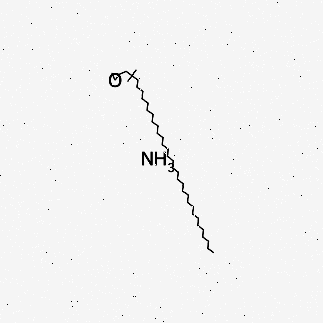 CCCCCCCCCCCCCCCCCCCCCCCCCCCCCCCC(C)(C)CC1CO1.N